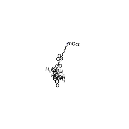 CCCCCCCC/C=C\CCCCCCCC(=O)OC(=O)CCC(=O)OCC(=O)[C@@]1(O)[C@H](C)C[C@H]2[C@@H]3CCC4=CC(=O)C=C[C@]4(C)[C@@]3(F)[C@@H](O)C[C@@]21C